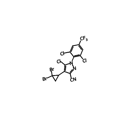 N#Cc1nn(-c2c(Cl)cc(C(F)(F)F)cc2Cl)c(Cl)c1C1CC1(Br)Br